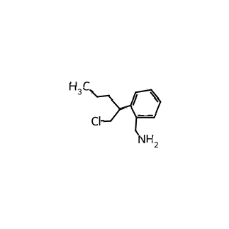 CCCC(CCl)c1ccccc1CN